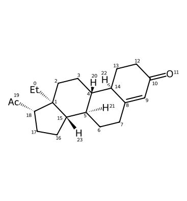 CC[C@]12CC[C@H]3[C@@H](CCC4=CC(=O)CC[C@@H]43)[C@@H]1CC[C@@H]2C(C)=O